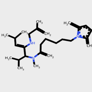 C=C(C)CN/C(=C\C(C)C)C(C(C)C)N(C)C(=C)CCCCCn1c(=C)ccc1=C